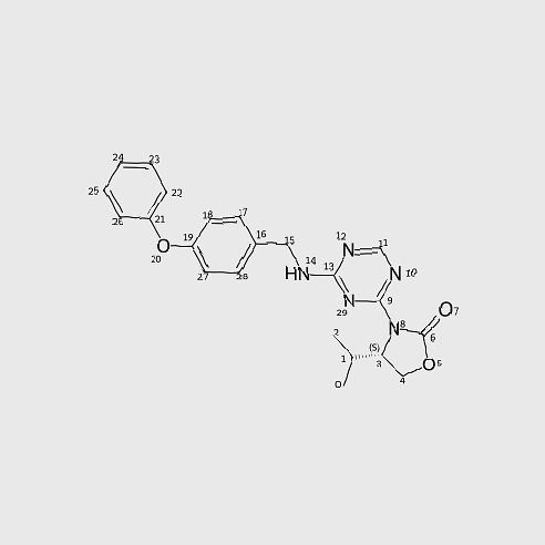 CC(C)[C@H]1COC(=O)N1c1ncnc(NCc2ccc(Oc3ccccc3)cc2)n1